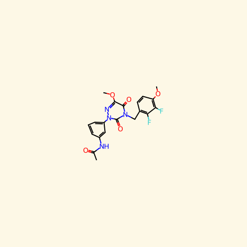 COc1ccc(Cn2c(=O)c(OC)nn(-c3cccc(NC(C)=O)c3)c2=O)c(F)c1F